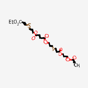 C#CC(=O)OCCCOC(=O)/C=C/SCCCOC(=O)CCC(=O)OCCCSC=CC(=O)OCC